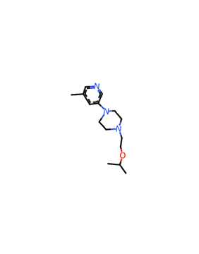 Cc1cncc(N2CCN(CCOC(C)C)CC2)c1